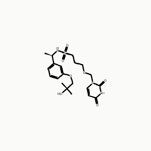 C[C@@H](NS(=O)(=O)CCCOCn1ccc(=O)[nH]c1=O)c1cccc(OCC(C)(C)O)c1